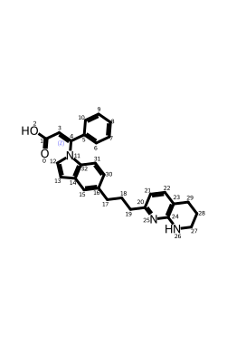 O=C(O)/C=C(/c1ccccc1)n1ccc2cc(CCCc3ccc4c(n3)NCCC4)ccc21